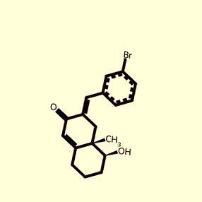 C[C@]12C/C(=C\c3cccc(Br)c3)C(=O)C=C1CCC[C@@H]2O